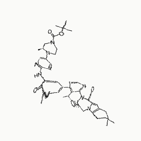 CC(O)c1c(-c2cc(Nc3ccc(N4CCN(C(=O)OC(C)(C)C)C[C@@H]4C)cn3)c(=O)n(C)c2)ccnc1N1CCn2c(cc3c2CC(C)(C)C3)C1=O